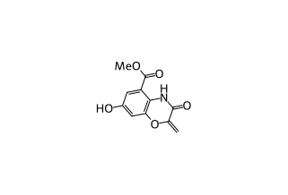 C=C1Oc2cc(O)cc(C(=O)OC)c2NC1=O